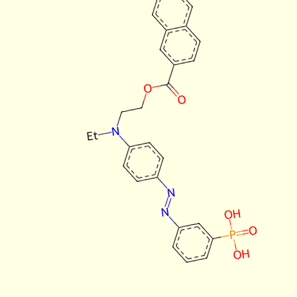 CCN(CCOC(=O)c1ccc2ccccc2c1)c1ccc(/N=N/c2cccc(P(=O)(O)O)c2)cc1